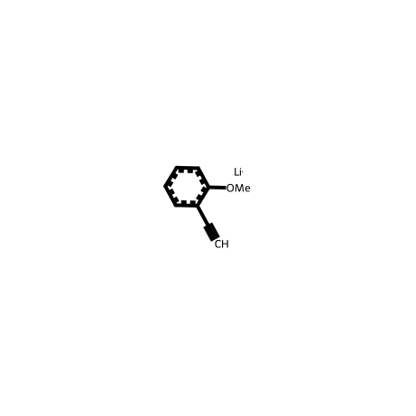 C#Cc1ccccc1OC.[Li]